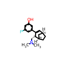 CN(C)C[C@@H]1C(c2cc(O)cc(F)c2)=C[C@H]2CC[C@@H]1C2